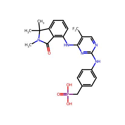 CN1C(=O)c2c(Nc3nc(Nc4ccc(CP(=O)(O)O)cc4)ncc3C(F)(F)F)cccc2C1(C)C